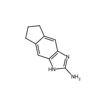 Nc1nc2cc3c(cc2[nH]1)CCC3